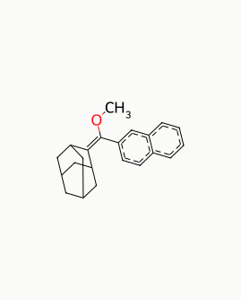 COC(=C1C2CC3CC(C2)CC1C3)c1ccc2ccccc2c1